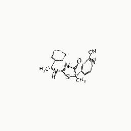 C[C@H](NC1=NC(=O)C(C)(c2ccnc(C#N)c2)S1)C1CCCCC1